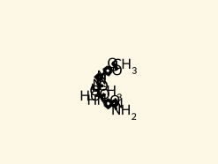 CC1(C(O)C(=O)Nc2ccc3c(N)noc3c2)OCCN(c2ccn(-c3ccc(S(C)(=O)=O)cc3)n2)C1=O